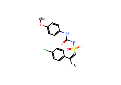 CCCCOc1ccc(NC(=O)NS(=O)(=O)C=C(C)c2ccc(Cl)cc2)cc1